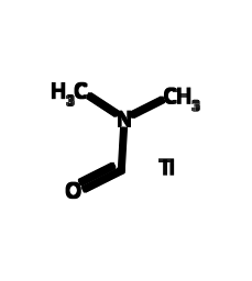 CN(C)C=O.[Ti]